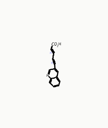 O=C(O)/C=C/C=C/c1cnc2ccccc2c1